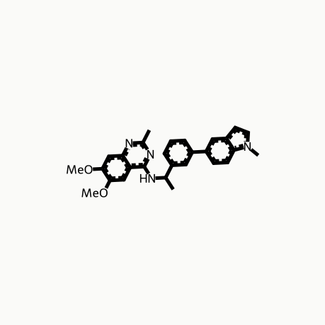 COc1cc2nc(C)nc(NC(C)c3cccc(-c4ccc5c(ccn5C)c4)c3)c2cc1OC